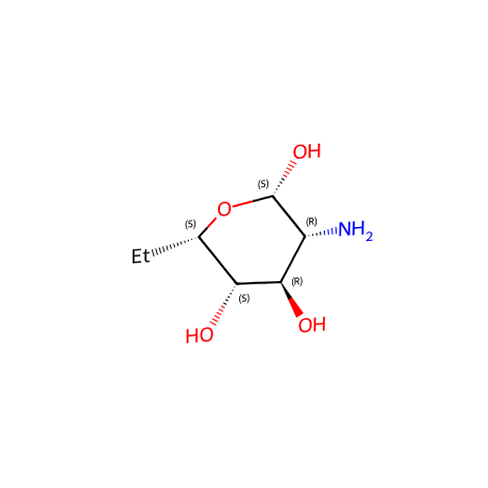 CC[C@@H]1O[C@H](O)[C@H](N)[C@@H](O)[C@@H]1O